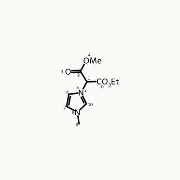 CCOC(=O)C(C(=O)OC)[n+]1ccn(C)c1